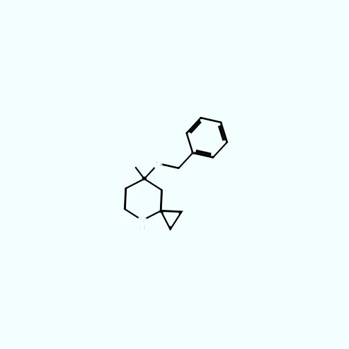 FC(F)(F)C1(NCc2ccccc2)CCNC2(CC2)C1